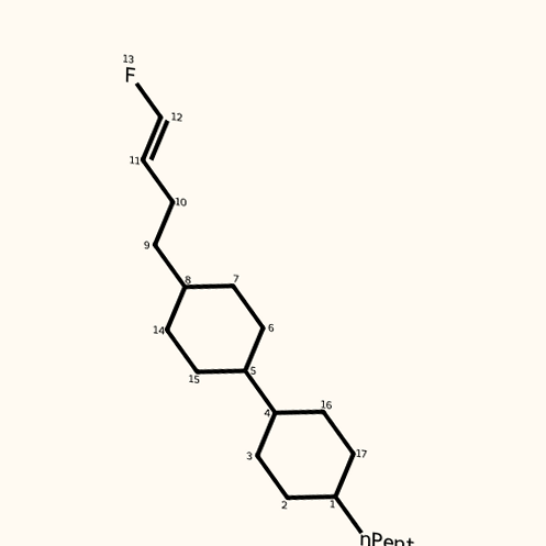 CCCCCC1CCC(C2CCC(CC/C=C/F)CC2)CC1